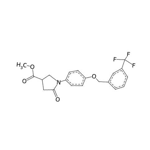 COC(=O)C1CC(=O)N(c2ccc(OCc3cccc(C(F)(F)F)c3)cc2)C1